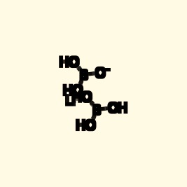 OB(O)O.[Li+].[O-]B(O)O